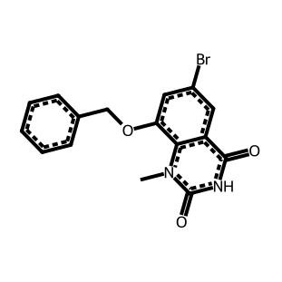 Cn1c(=O)[nH]c(=O)c2cc(Br)cc(OCc3ccccc3)c21